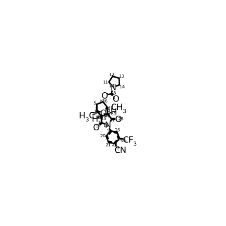 C[C@]12O[C@](C)(C[C@@H]1OC(=O)N1CCCC1)[C@H]1C(=O)N(c3ccc(C#N)c(C(F)(F)F)c3)C(=O)[C@H]12